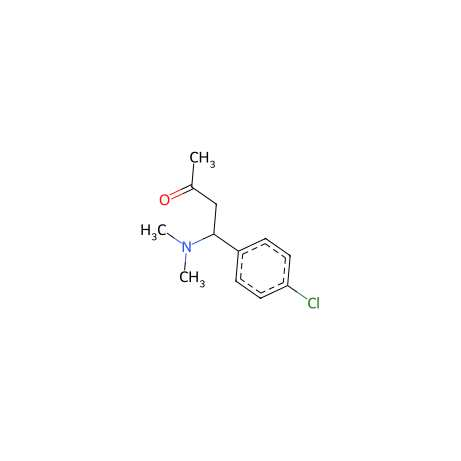 CC(=O)CC(c1ccc(Cl)cc1)N(C)C